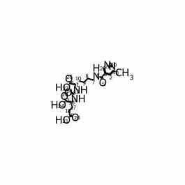 Cc1cc(C(=O)NCCCC[C@H](NC(=O)N[C@@H](CCC(=O)O)C(=O)O)C(=O)O)cnn1